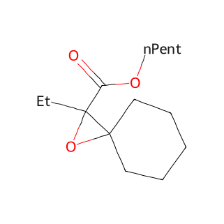 CCCCCOC(=O)C1(CC)OC12CCCCC2